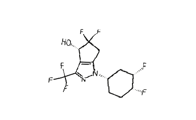 O[C@H]1c2c(C(F)(F)F)nn([C@H]3CC[C@@H](F)[C@@H](F)C3)c2CC1(F)F